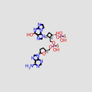 Nc1ncnc2c1ncn2[C@H]1CC[C@@H](COP(O)(=S)OC[C@@H]2[C@@H](COP(O)(O)=S)C[C@H]2n2cnc3c(O)nc4nccn4c32)O1